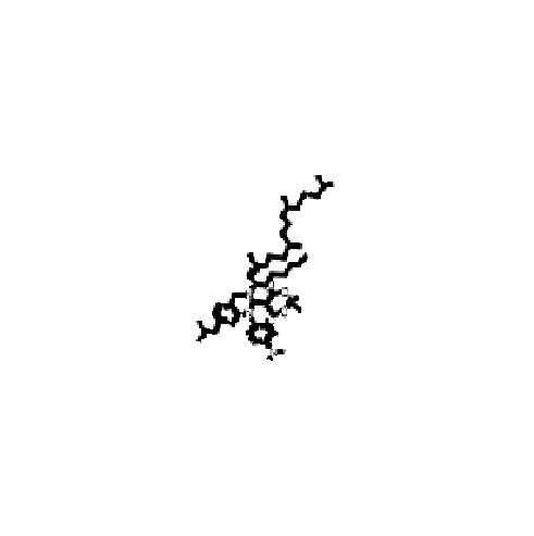 CCCCCCC(C=C(C)CCCC(C)CCCC(C)CCCC(C)C)N(Cc1ccc(CC(C)C)cc1)C(Nc1ccc(N(C)C)cc1)=C1C(=O)OC(C)(C)OC1=O